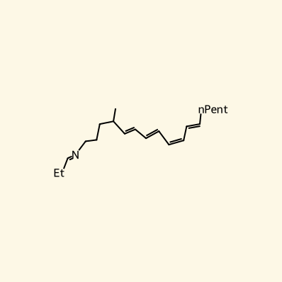 CC/C=N/CCCC(C)/C=C/C=C/C=C\C=C\CCCCC